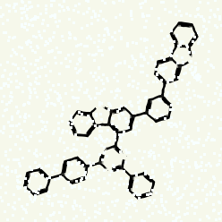 c1ccc(-c2ccc(-c3nc(-c4ccccc4)nc(-c4cc(-c5cccc(-c6ccc7c(c6)sc6ccccc67)c5)cc5oc6ccccc6c45)n3)cc2)cc1